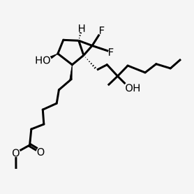 CCCCCC(C)(O)CC[C@]12[C@@H](CCCCCCC(=O)OC)[C@@H](O)C[C@H]1C2(F)F